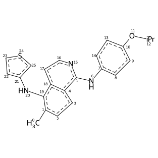 Cc1ccc2c(Nc3ccc(OC(C)C)cc3)nccc2c1Nc1ccsc1